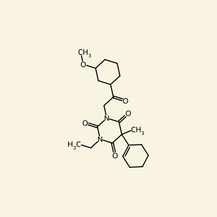 CCN1C(=O)N(CC(=O)C2CCCC(OC)C2)C(=O)C(C)(C2=CCCCC2)C1=O